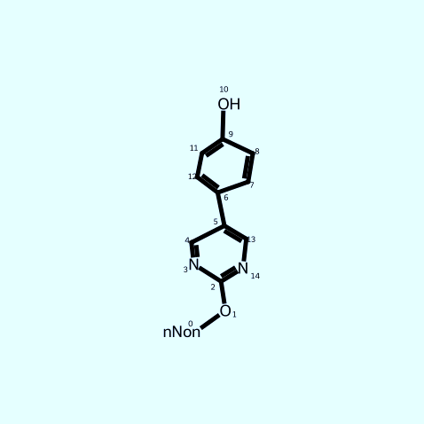 CCCCCCCCCOc1ncc(-c2ccc(O)cc2)cn1